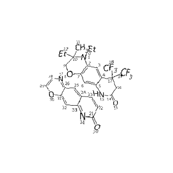 CCN1c2cc3c(cc2OCC1(C)CC)NC(=O)CC3(C(F)(F)F)C(F)(F)F.O=c1ccc2cc3nccoc3cc2n1